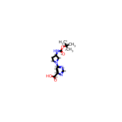 CC(C)(C)OC(=O)NC1CCN(c2cc(C(=O)O)ncn2)C1